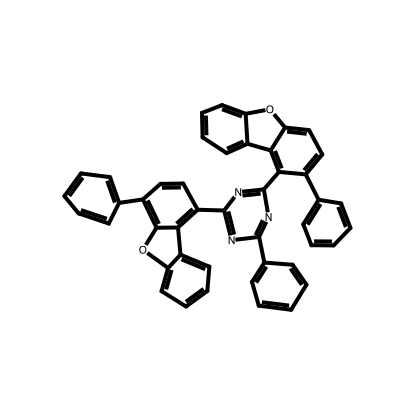 c1ccc(-c2nc(-c3c(-c4ccccc4)ccc4oc5ccccc5c34)nc(-c3ccc(-c4ccccc4)c4oc5ccccc5c34)n2)cc1